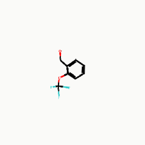 [O]Cc1ccccc1OC(F)(F)F